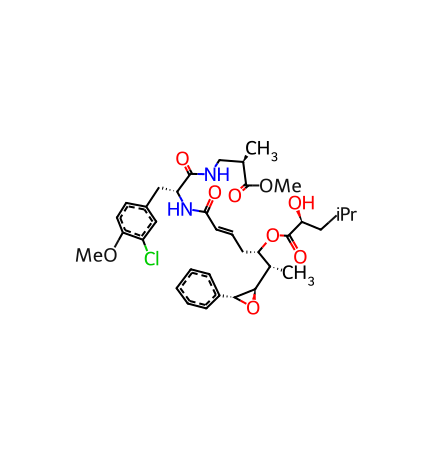 COC(=O)[C@H](C)CNC(=O)[C@@H](Cc1ccc(OC)c(Cl)c1)NC(=O)/C=C/C[C@H](OC(=O)[C@@H](O)CC(C)C)[C@H](C)[C@H]1O[C@@H]1c1ccccc1